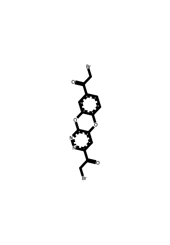 O=C(CBr)c1ccc2c(c1)Oc1nnc(C(=O)CBr)cc1O2